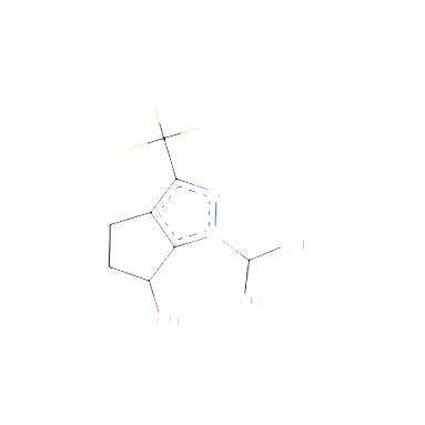 CC(C)n1nc(C(F)(F)F)c2c1C(O)CC2